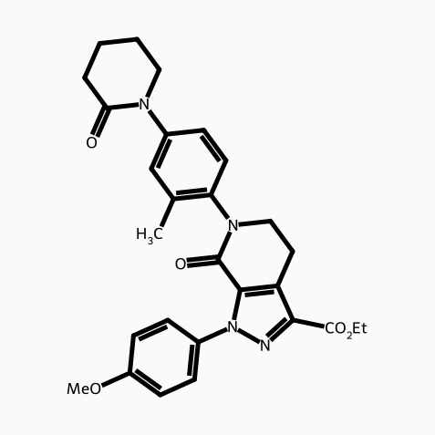 CCOC(=O)c1nn(-c2ccc(OC)cc2)c2c1CCN(c1ccc(N3CCCCC3=O)cc1C)C2=O